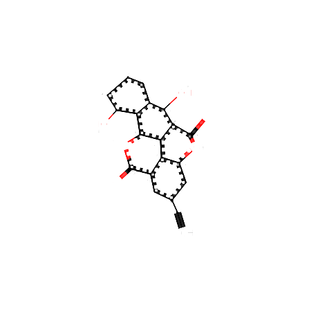 C#Cc1cc2oc(=O)c3c(O)c4cccc(O)c4c4oc(=O)c(c1)c2c34